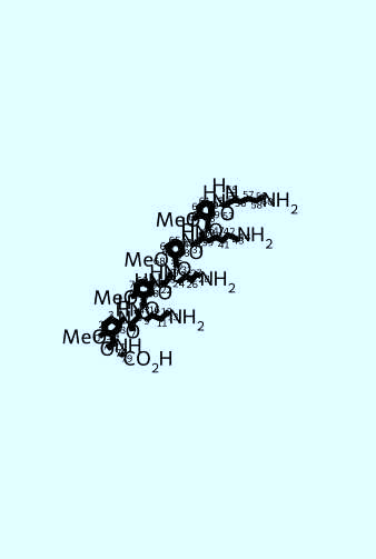 COc1ccc(NC(=O)[C@H](CCCCN)NC(=O)c2cc(NC(=O)[C@H](CCCCN)NC(=O)c3cc(NC(=O)[C@H](CCCCCN)NC(=O)c4cc(NC(=O)[C@@H](N)CCCCN)ccc4OC)ccc3OC)ccc2OC)cc1C(=O)NCC(=O)O